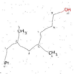 CC(C)CC(C)CC(C)CCCO